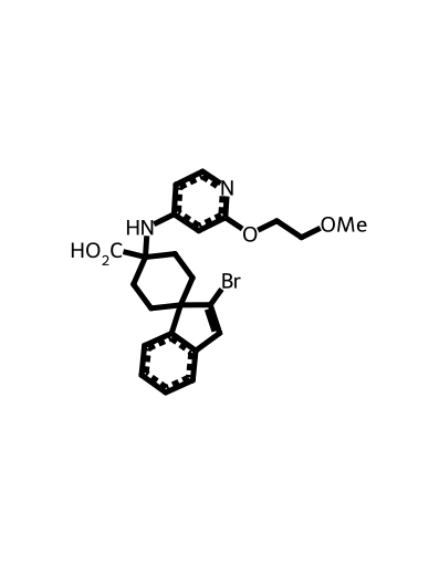 COCCOc1cc(NC2(C(=O)O)CCC3(CC2)C(Br)=Cc2ccccc23)ccn1